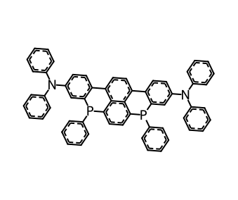 c1ccc(N(c2ccccc2)c2ccc3c(c2)P(c2ccccc2)c2ccc4c5c(ccc-3c25)-c2ccc(N(c3ccccc3)c3ccccc3)cc2P4c2ccccc2)cc1